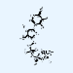 Cc1c(F)c([C@@H]2O[C@H](COP(=O)(O)OP(=O)(O)OP(=O)(O)O)C(O)[C@@H]2F)c[nH]c1=O